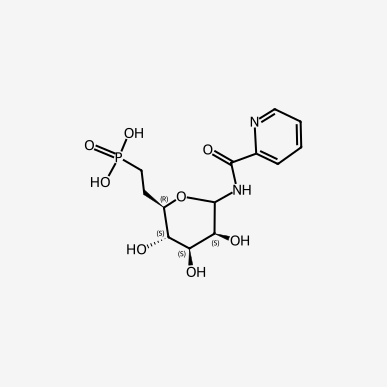 O=C(NC1O[C@H](CCP(=O)(O)O)[C@@H](O)[C@H](O)[C@@H]1O)c1ccccn1